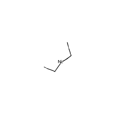 C[CH2][Ni][CH2]C